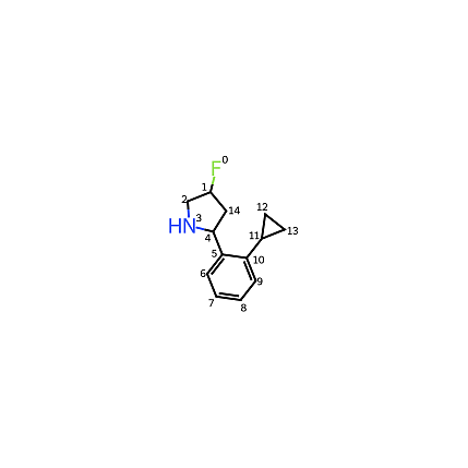 FC1CNC(c2ccccc2C2CC2)C1